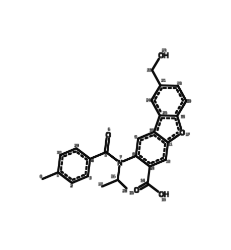 Cc1ccc(C(=O)N(c2cc3c(cc2C(=O)O)oc2ccc(CO)cc23)C(C)C)cc1